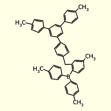 Cc1ccc(B(c2ccc(C)cc2)c2ccc(C)cc2Cc2ccc(-c3cc(-c4ccc(C)cc4)cc(-c4ccc(C)cc4)c3)cc2)cc1